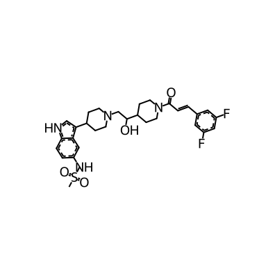 CS(=O)(=O)Nc1ccc2[nH]cc(C3CCN(CC(O)C4CCN(C(=O)C=Cc5cc(F)cc(F)c5)CC4)CC3)c2c1